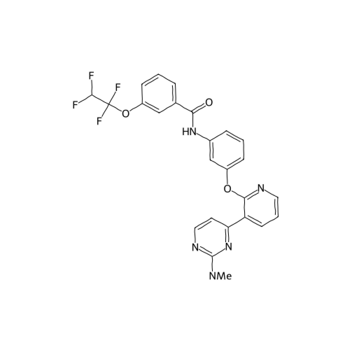 CNc1nccc(-c2cccnc2Oc2cccc(NC(=O)c3cccc(OC(F)(F)C(F)F)c3)c2)n1